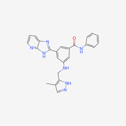 Cc1cn[nH]c1CNc1cc(C(=O)Nc2ccccc2)cc(-c2nc3cccnc3[nH]2)c1